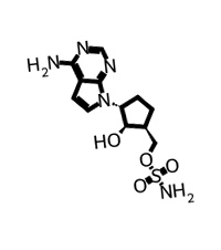 Nc1ncnc2c1ccn2[C@@H]1CC[C@@H](COS(N)(=O)=O)[C@H]1O